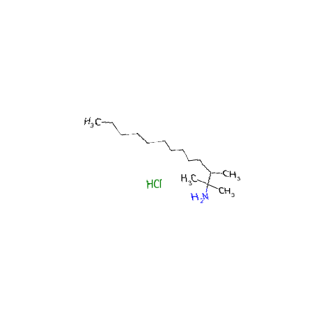 CCCCCCCCCCC(C)C(C)(C)N.Cl